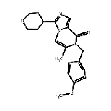 Cc1cn2c(C3CCOCC3)ncc2c(=O)n1Cc1ccc(OC(F)(F)F)cc1